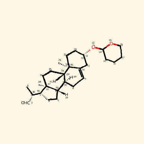 C[C@@H](C=O)[C@H]1CC[C@H]2[C@@H]3CC=C4C[C@@H](OC5CCCCO5)CC[C@]4(C)[C@H]3CC[C@]12C